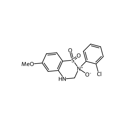 COc1ccc2c(c1)NC[N+]([O-])(c1ccccc1Cl)S2(=O)=O